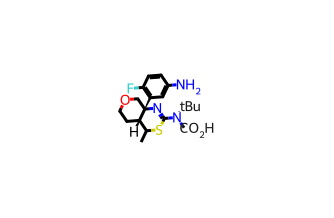 CC1SC(N(C(=O)O)C(C)(C)C)=N[C@@]2(c3cc(N)ccc3F)COCC[C@@H]12